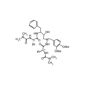 COc1ccc(CN(CC(O)C(Cc2ccccc2)NC(=O)[C@@H](NC(=O)N(C)C)C(C)C)NC(=O)[C@@H](NC(=O)N(C)C)C(C)C)cc1OC